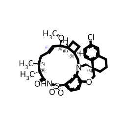 CO[C@@H]1/C=C/C[C@H](C)[C@@H](C)C(=O)NS(=O)(=O)c2ccc3c(c2)N(C[C@@H]2CC[C@H]21)C[C@@]1(CCCc2cc(Cl)ccc21)CO3